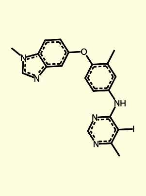 Cc1cc(Nc2ncnc(C)c2I)ccc1Oc1ccc2c(c1)ncn2C